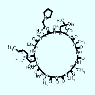 C/C=C/C[C@@H](C)[C@@H](O)[C@H]1C(=O)N[C@@H](CC)C(=O)N(C)[C@H](SCCN2CCCC2)C(=O)N(C)[C@@H](CC(C)(C)O)C(=O)NC(=O)N(C)C(=O)NC(=O)N[C@H](C)C(=O)N(C)C(=O)N(C)C(=O)N(C)[C@@H](C(C)C)C(=O)N1C